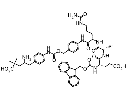 CC(C)[C@H](NC(=O)[C@H](CCC(=O)O)NC(=O)OCC1c2ccccc2-c2ccccc21)C(=O)N[C@@H](CCCNC(N)=O)C(=O)Nc1ccc(COC(=O)Nc2ccc(C[C@H](N)CC(C)(C)C(=O)O)cc2)cc1